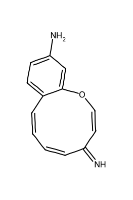 N=c1ccccc2ccc(N)cc2occ1